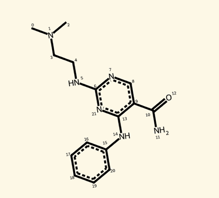 CN(C)CCNc1ncc(C(N)=O)c(Nc2ccccc2)n1